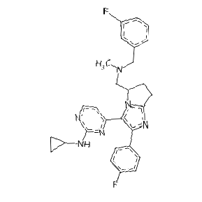 CN(Cc1cccc(F)c1)CC1CCc2nc(-c3ccc(F)cc3)c(-c3ccnc(NC4CC4)n3)n21